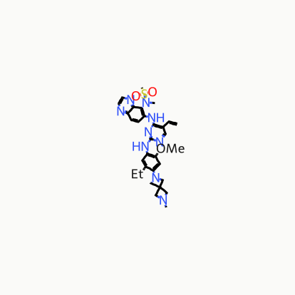 C=Cc1cnc(Nc2cc(CC)c(N3CC4(CN(C)C4)C3)cc2OC)nc1Nc1ccc2nccnc2c1N(C)S(C)(=O)=O